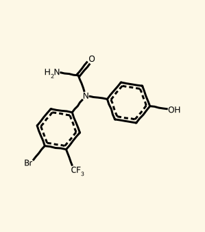 NC(=O)N(c1ccc(O)cc1)c1ccc(Br)c(C(F)(F)F)c1